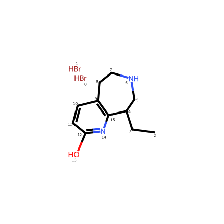 Br.Br.CCC1CNCCc2ccc(O)nc21